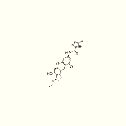 CCOC1CCc2c(Cc3c(Cl)cc(NC(=O)c4noc(=O)[nH]4)cc3Cl)ccc(O)c21